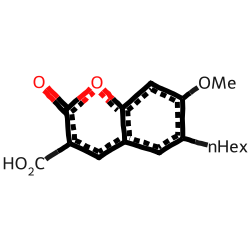 CCCCCCc1cc2cc(C(=O)O)c(=O)oc2cc1OC